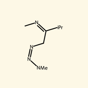 C/N=C(\C/N=N\NC)C(C)C